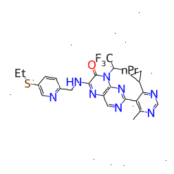 CCCC(n1c(=O)c(NCc2ccc(SCC)cn2)nc2cnc(-c3c(C)ncnc3C3CC3)nc21)C(F)(F)F